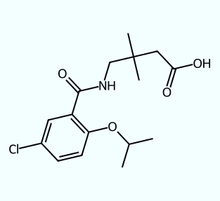 CC(C)Oc1ccc(Cl)cc1C(=O)NCC(C)(C)CC(=O)O